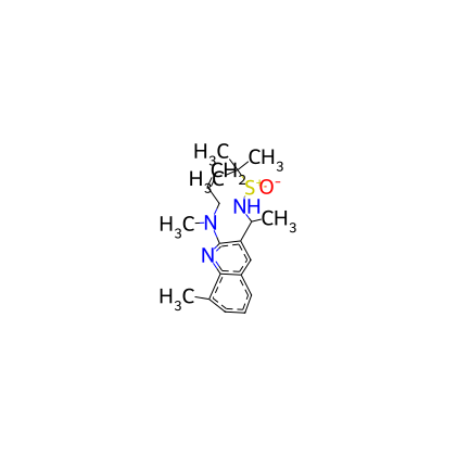 C=CCN(C)c1nc2c(C)cccc2cc1C(C)N[S+]([O-])C(C)(C)C